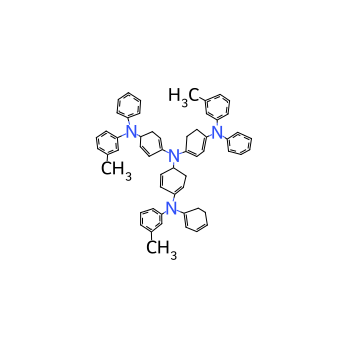 Cc1cccc(N(C2=CCC(N(C3=CCC(N(c4ccccc4)c4cccc(C)c4)C=C3)C3=CC=C(N(c4ccccc4)c4cccc(C)c4)CC3)C=C2)C2=CC=CCC2)c1